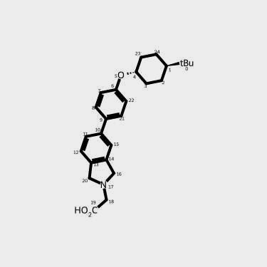 CC(C)(C)[C@H]1CC[C@H](Oc2ccc(-c3ccc4c(c3)CN(CC(=O)O)C4)cc2)CC1